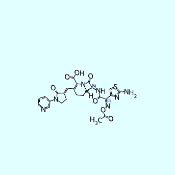 CC(=O)O/N=C(\C(=O)N[C@@H]1C(=O)N2C(C(=O)O)=C(C=C3CCN(c4cccnc4)C3=O)CC[C@H]12)c1csc(N)n1